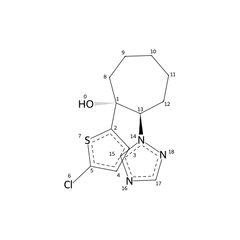 O[C@]1(c2ccc(Cl)s2)CCCCC[C@H]1n1cncn1